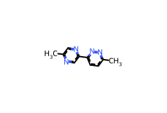 Cc1cnc(-c2ccc(C)nn2)cn1